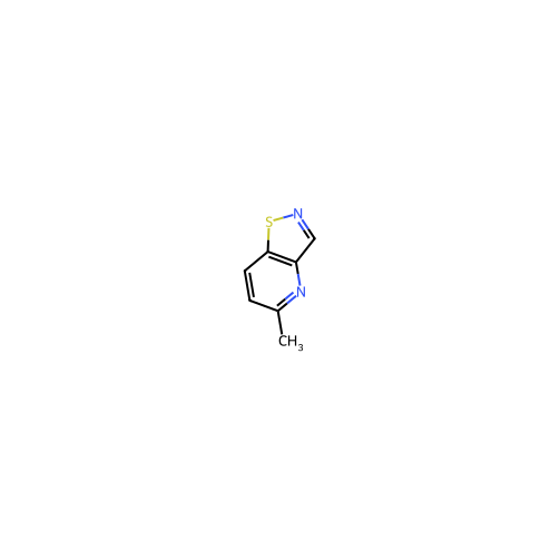 Cc1ccc2sncc2n1